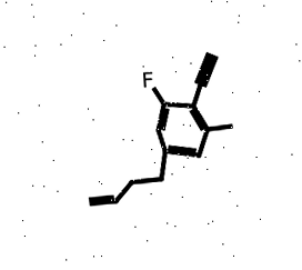 C#Cc1c(C)cc(CCC=C)cc1F